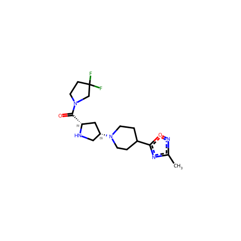 Cc1noc(C2CCN([C@@H]3CN[C@H](C(=O)N4CCC(F)(F)C4)C3)CC2)n1